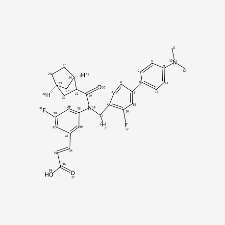 [2H]C(c1ccc(-c2ccc(N(C)C)cc2)cc1F)N(C(=O)C1C[C@H]2CC[C@@H]1C2)c1cc(F)cc(/C=C/C(=O)O)c1